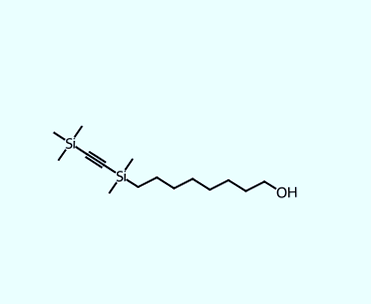 C[Si](C)(C)C#C[Si](C)(C)CCCCCCCCO